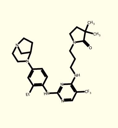 CCc1cc(N2CCN3CCC2C3)ccc1Nc1ncc(C(F)(F)F)c(NCCCN2CCC(C)(C)C2=O)n1